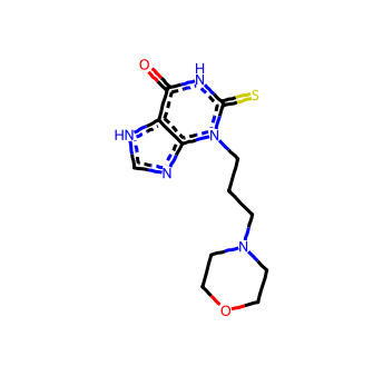 O=c1[nH]c(=S)n(CCCN2CCOCC2)c2nc[nH]c12